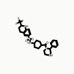 O=C(C1CCC(NS(=O)(=O)c2ccc3c(c2)CCC(C(F)(F)F)N3)CC1)N1CCNCC1c1ccccc1